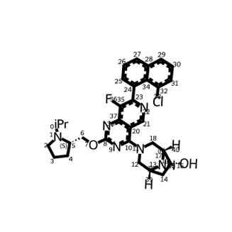 CC(C)N1CCC[C@H]1COc1nc(N2C[C@H]3C[C@@H](O)[C@@H](C2)N3)c2cnc(-c3cccc4cccc(Cl)c34)c(F)c2n1